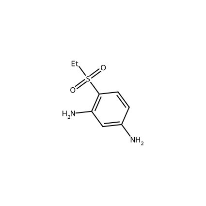 CCS(=O)(=O)c1ccc(N)cc1N